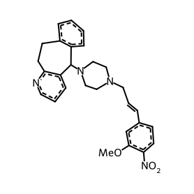 COc1cc(C=CCN2CCN(C3c4ccccc4CCc4ncccc43)CC2)ccc1[N+](=O)[O-]